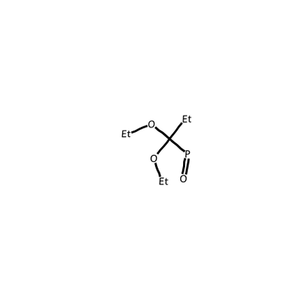 [CH2]CC(OCC)(OCC)P=O